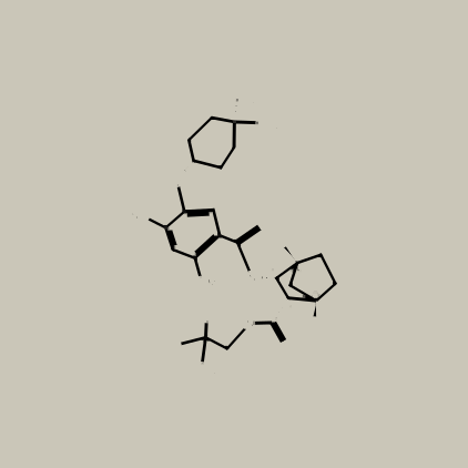 COc1cc(C#N)c(O[C@H]2CC[C@@](C)(C(=O)O)CC2)cc1C(=O)N[C@@H]1[C@@H]2CC[C@@H](C2)[C@@H]1C(=O)NCC(C)(C)C(F)(F)F